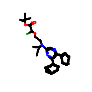 CC(C)N(CCOC(F)C(=O)OC(C)(C)C)c1cnc(-c2ccccc2)c(-c2ccccc2)n1